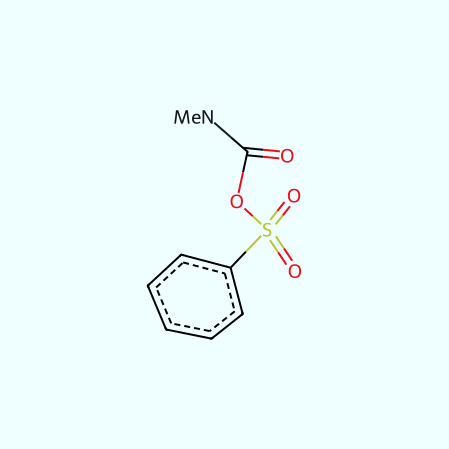 CNC(=O)OS(=O)(=O)c1ccccc1